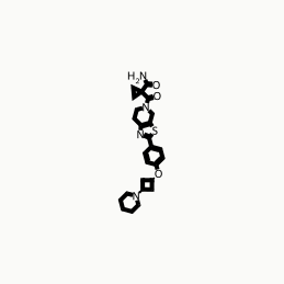 NC(=O)C1(C(=O)N2CCc3nc(-c4ccc(O[C@H]5C[C@H](N6CCCCC6)C5)cc4)sc3C2)CC1